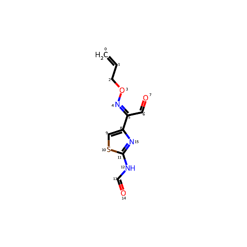 C=CCON=C([C]=O)c1csc(NC=O)n1